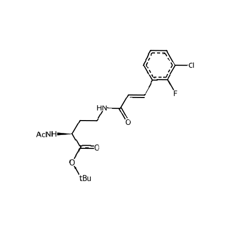 CC(=O)N[C@@H](CCNC(=O)/C=C/c1cccc(Cl)c1F)C(=O)OC(C)(C)C